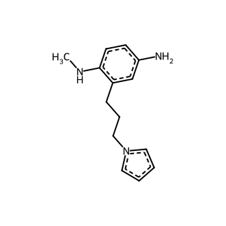 CNc1ccc(N)cc1CCCn1cccc1